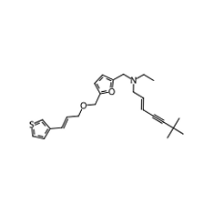 CCN(CC=CC#CC(C)(C)C)Cc1ccc(COCC=Cc2ccsc2)o1